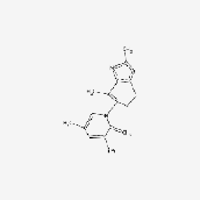 C=C1C(CCC)=CC(C)=CN1C1=C(C)c2[nH]c(C)cc2CC1